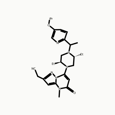 CC[C@H]1CN(C(C)c2ccc(OC(C)C)cn2)[C@H](CC)CN1c1cc(=O)n(C)c2cc(CC#N)nn12